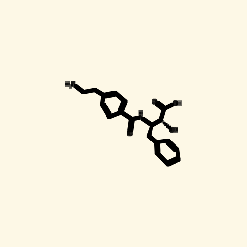 CCCc1ccc(C(=O)N[C@H](Cc2ccccc2)[C@@H](O)C(=O)O)cc1